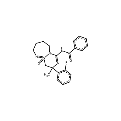 CC1(c2ccccc2F)CS2(=O)=NCCCCN2C(NC(=O)c2ccccc2)=N1